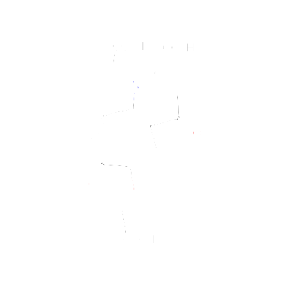 O=C(O)COc1cc2c(=O)cc(C(=O)O)n(CC(=O)O)c2ccc1=O